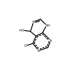 OC1N=CNc2ncnc(Cl)c21